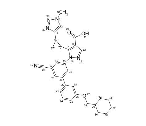 Cn1cc(C2CC2c2c(C(=O)O)cnn2-c2cc(C#N)cc(-c3cccc(OCC4CCCCC4)c3)c2)nn1